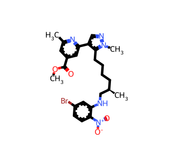 COC(=O)c1cc(C)nc(-c2cnn(C)c2CCCC[C@@H](C)CNc2cc(Br)ccc2[N+](=O)[O-])c1